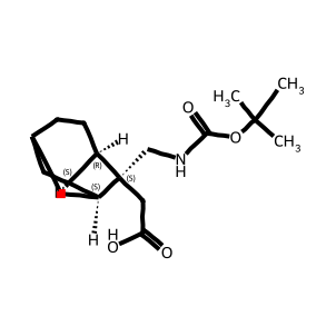 CC(C)(C)OC(=O)NC[C@@]1(CC(=O)O)[C@@H]2CCC3C[C@@H]2[C@@H]1C3